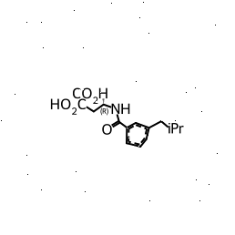 CC(C)Cc1cccc(C(=O)N[C@H](CC(=O)O)C(=O)O)c1